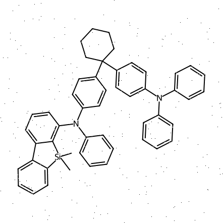 C[Si]1(C)c2ccccc2-c2cccc(N(c3ccccc3)c3ccc(C4(c5ccc(N(c6ccccc6)c6ccccc6)cc5)CCCCC4)cc3)c21